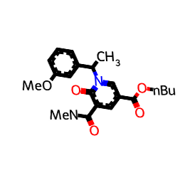 CCCCOC(=O)c1cc(C(=O)NC)c(=O)n(C(C)c2cccc(OC)c2)c1